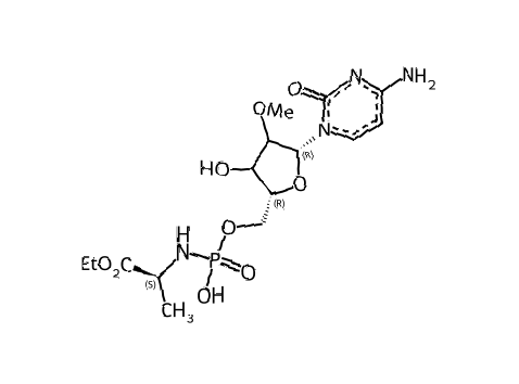 CCOC(=O)[C@H](C)NP(=O)(O)OC[C@H]1O[C@@H](n2ccc(N)nc2=O)C(OC)C1O